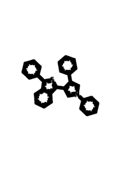 c1ccc(-c2cn(-c3ccccc3)cc2-c2sc(-c3ccccc3)c3ccccc23)cc1